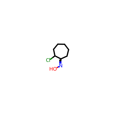 ON=C1CCCCCC1Cl